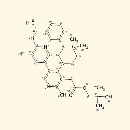 Cc1ncc(-c2cnc(O[C@H](C)c3ccccc3)c(F)c2)c(N2CCC(C)(C)CC2)c1CC(=O)OCC(C)(C)O